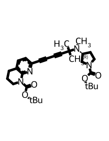 CN([C@@H]1CCN(C(=O)OC(C)(C)C)C1)C(C)(C)C#CC#Cc1ccc2c(n1)N(C(=O)OC(C)(C)C)CCC2